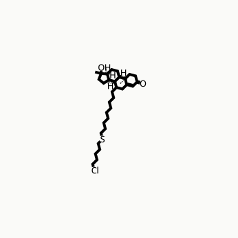 CC1(O)CC[C@H]2[C@@H]3C(CCCCCCCCCSCCCCCCl)CC4=CC(=O)CC[C@]4(C)[C@@H]3CC[C@@]21C